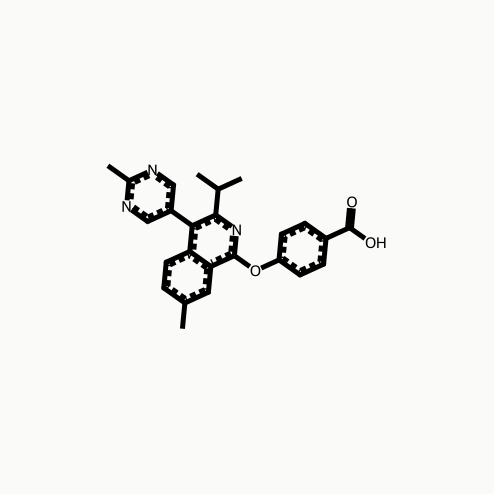 Cc1ccc2c(-c3cnc(C)nc3)c(C(C)C)nc(Oc3ccc(C(=O)O)cc3)c2c1